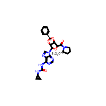 CCOC(=O)[C@H]1CCCN1C(=O)C1OC(n2cnc3c(NC(=O)NC4CC4)ncnc32)C2O[C@@H](c3ccccc3)OC12